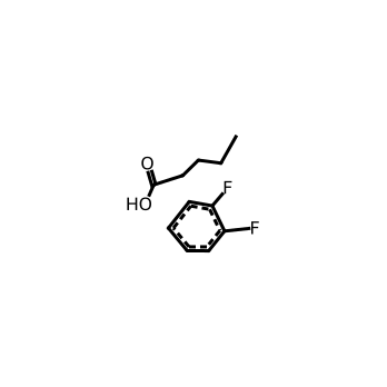 CCCCC(=O)O.Fc1ccccc1F